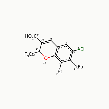 CCc1c2c(cc(Cl)c1C(C)(C)C)C=C(C(=O)O)C(C(F)(F)F)O2